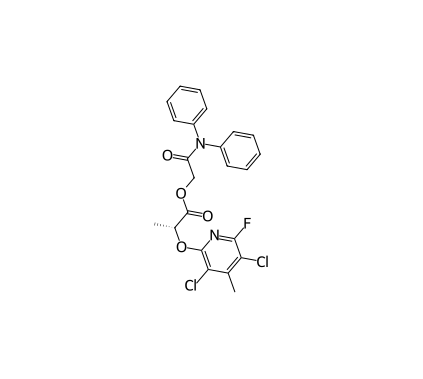 Cc1c(Cl)c(F)nc(O[C@H](C)C(=O)OCC(=O)N(c2ccccc2)c2ccccc2)c1Cl